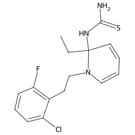 CCC1(NC(N)=S)C=CC=CN1CCc1c(F)cccc1Cl